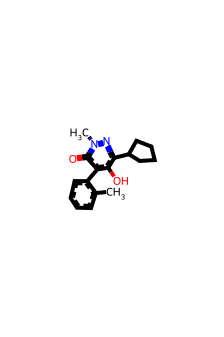 Cc1ccccc1-c1c(O)c(C2CCCC2)nn(C)c1=O